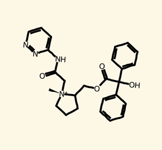 C[N@+]1(CC(=O)Nc2cccnn2)CCCC1COC(=O)C(O)(c1ccccc1)c1ccccc1